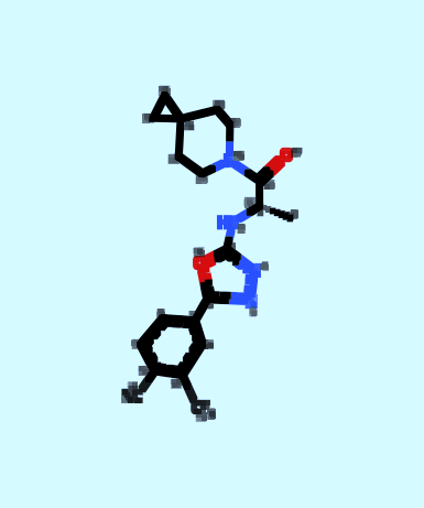 C[C@H](Nc1nnc(-c2ccc(C#N)c(C(F)(F)F)c2)o1)C(=O)N1CCC2(CC1)CC2